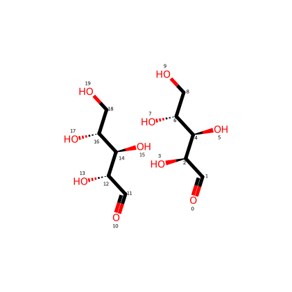 O=C[C@@H](O)[C@H](O)[C@H](O)CO.O=C[C@H](O)[C@H](O)[C@H](O)CO